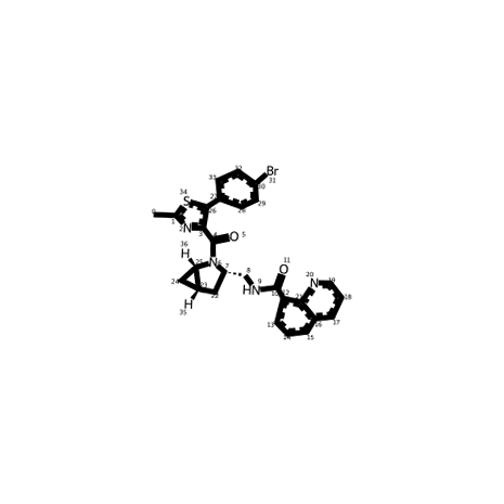 Cc1nc(C(=O)N2[C@H](CNC(=O)c3cccc4cccnc34)C[C@@H]3C[C@@H]32)c(-c2ccc(Br)cc2)s1